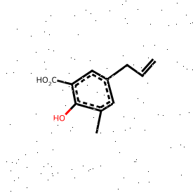 C=CCc1cc(C)c(O)c(C(=O)O)c1